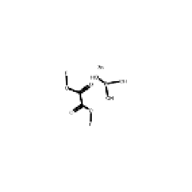 O=C(OF)C(=O)OF.OB(O)O.[Zn]